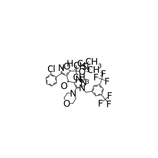 CC(C)(O[Si](C)(C)C)c1onc(-c2ccccc2Cl)c1C(=O)c1nnn(Cc2cc(C(F)(F)F)cc(C(F)(F)F)c2)c1N1CCOCC1